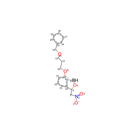 O=[N+]([O-])CC1OBc2c(OCCCOCc3ccccc3)cccc21